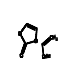 C=COC(C)=O.O=c1occo1